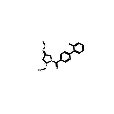 CO/N=C1/C[C@@H](CO)N(C(=O)c2ccc(-c3ccccc3C)cc2)C1